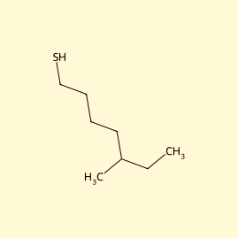 CCC(C)CCCCS